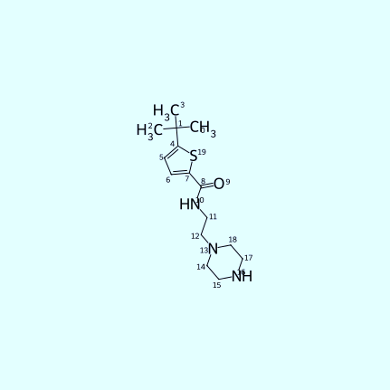 CC(C)(C)c1ccc(C(=O)NCCN2CCNCC2)s1